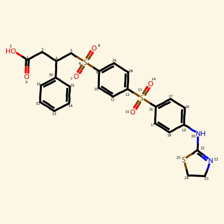 O=C(O)CC(CS(=O)(=O)c1ccc(S(=O)(=O)c2ccc(NC3=NCCS3)cc2)cc1)c1ccccc1